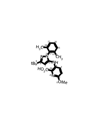 COc1ccc(Nc2cc(C(C)(C)C)nn2-c2c(C)cccc2C)c(C(=O)O)n1